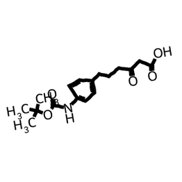 CC(C)(C)OC(=O)Nc1ccc(CCCC(=O)CC(=O)O)cc1